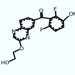 O=C(c1ccc2ncc(OCCO)nc2c1)c1c(F)ccc(O)c1F